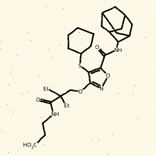 CCC(CC)(COc1noc(C(=O)NC2C3CC4CC(C3)CC2C4)c1SC1CCCCC1)C(=O)NCCC(=O)O